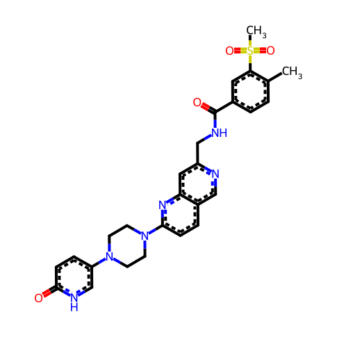 Cc1ccc(C(=O)NCc2cc3nc(N4CCN(c5ccc(=O)[nH]c5)CC4)ccc3cn2)cc1S(C)(=O)=O